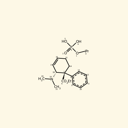 CC(C)OP(=O)(O)O.CCOC(=O)[C@]1(c2ccccc2)CCC=C[C@H]1N(C)C